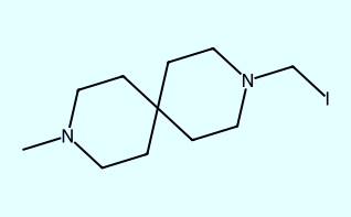 CN1CCC2(CC1)CCN(CI)CC2